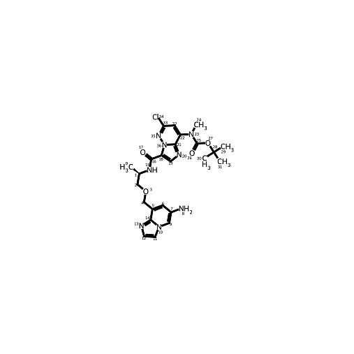 C[C@H](COCc1cc(N)cn2ccnc12)NC(=O)c1cnc2c(N(C)C(=O)OC(C)(C)C)cc(Cl)nn12